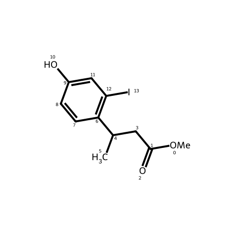 COC(=O)CC(C)c1ccc(O)cc1I